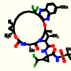 COc1ccc2nc3c(nc2c1)O[C@H]1CN(C(=O)[C@H](C(C)(C)C)NC(=O)O[C@@]2(C)C[C@@H]2CCCCC3(F)F)[C@H](C(=O)N[C@]2(C(=O)NS(=O)(=O)C3(C)CC3)C[C@H]2C(F)F)[C@@H]1C